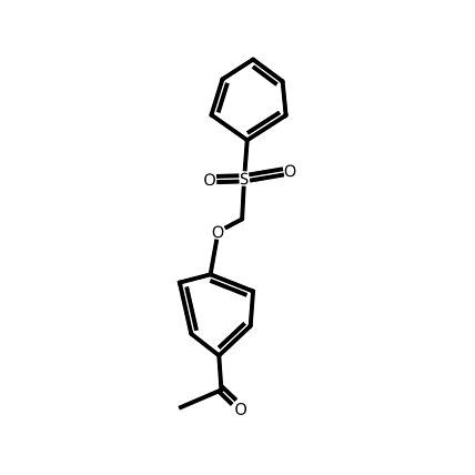 CC(=O)c1ccc(OCS(=O)(=O)c2ccccc2)cc1